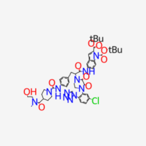 CN(CCO)C(=O)C1CCN(C(=O)Nc2ccc(CC(C(=O)Nc3ccc4c(c3)cc(C(=O)OC(C)(C)C)n4C(=O)OC(C)(C)C)N3CCN(c4cc(Cl)ccc4-n4cnnn4)C(=O)C3=O)cc2)CC1